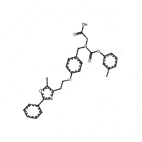 Cc1cccc(OC(=O)N(CC(=O)O)Cc2ccc(OCCc3nc(-c4ccccc4)oc3C)cc2)c1